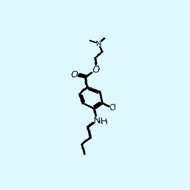 CCCCNc1ccc(C(=O)OCCN(C)C)cc1Cl